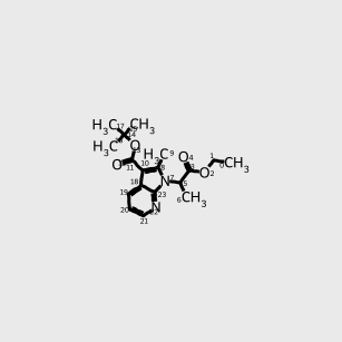 CCOC(=O)C(C)n1c(C)c(C(=O)OC(C)(C)C)c2cccnc21